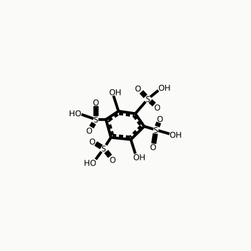 O=S(=O)(O)c1c(O)c(S(=O)(=O)O)c(S(=O)(=O)O)c(O)c1S(=O)(=O)O